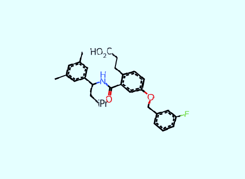 Cc1cc(C)cc(C(CC(C)C)NC(=O)c2cc(OCc3cccc(F)c3)ccc2CCC(=O)O)c1